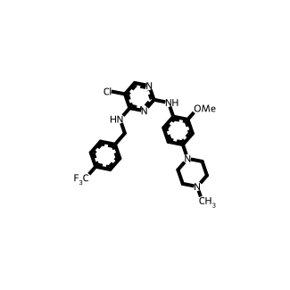 COc1cc(N2CCN(C)CC2)ccc1Nc1ncc(Cl)c(NCc2ccc(C(F)(F)F)cc2)n1